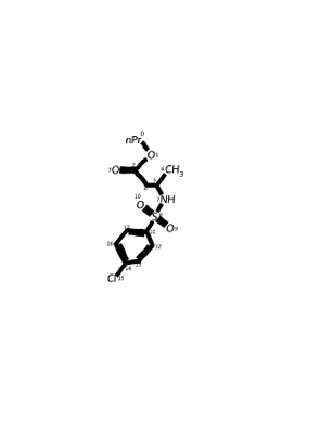 CCCOC(=O)CC(C)NS(=O)(=O)c1ccc(Cl)cc1